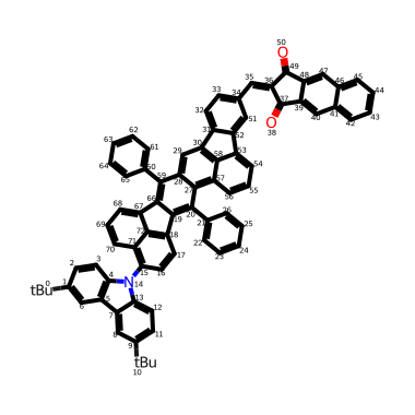 CC(C)(C)c1ccc2c(c1)c1cc(C(C)(C)C)ccc1n2-c1ccc2c3c(-c4ccccc4)c4c(cc5c6ccc(C=C7C(=O)c8cc9ccccc9cc8C7=O)cc6c6cccc4c65)c(-c4ccccc4)c3c3cccc1c32